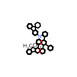 CC1(C)c2ccccc2-c2cccc(-c3ccc(N(c4ccc5c(c4)C4(CCCCC4)c4ccccc4-5)c4ccccc4-c4ccc(-c5ccccc5)c(-c5ccccc5)c4)cc3)c21